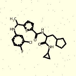 CC(Nc1ccc(F)c(Cl)c1)c1ccc(C(=O)NC(CC2CCCC2)C(=O)NC2CC2)s1